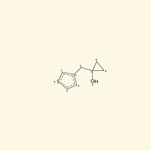 OC1(Cc2ccsc2)CC1